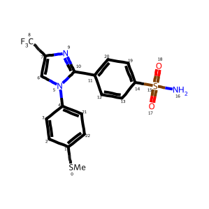 CSc1ccc(-n2cc(C(F)(F)F)nc2-c2ccc(S(N)(=O)=O)cc2)cc1